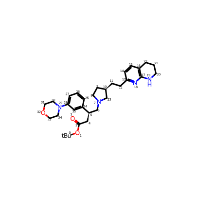 CC(C)(C)OC(=O)C[C@H](CN1CC[C@@H](CCc2ccc3c(n2)NCCC3)C1)c1cccc(N2CCOCC2)c1